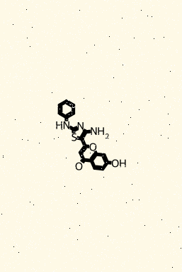 Nc1nc(Nc2ccccc2)sc1-c1cc(=O)c2ccc(O)cc2o1